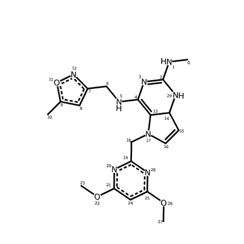 CNC1=NC(NCc2cc(C)on2)=C2C(C=CN2Cc2nc(OC)cc(OC)n2)N1